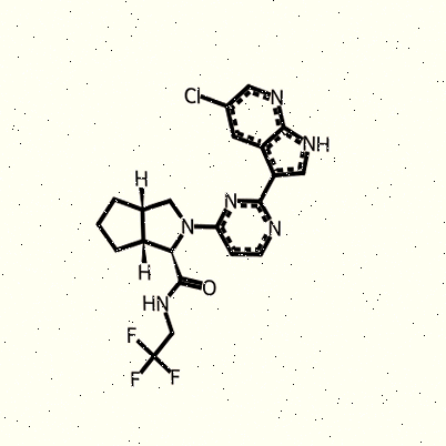 O=C(NCC(F)(F)F)[C@H]1[C@@H]2CCC[C@@H]2CN1c1ccnc(-c2c[nH]c3ncc(Cl)cc23)n1